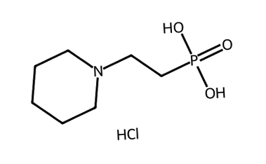 Cl.O=P(O)(O)CCN1CCCCC1